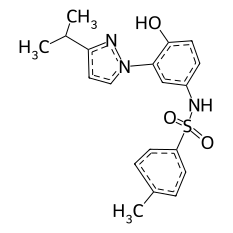 Cc1ccc(S(=O)(=O)Nc2ccc(O)c(-n3ccc(C(C)C)n3)c2)cc1